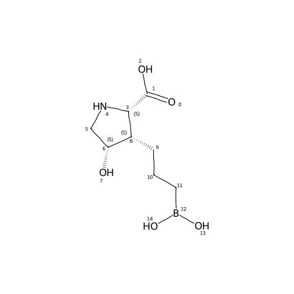 O=C(O)[C@H]1NC[C@@H](O)[C@H]1CCCB(O)O